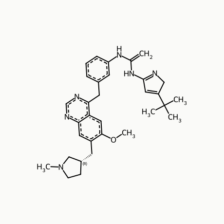 C=C(NC1=NCC(C(C)(C)C)=C1)Nc1cccc(Cc2ncnc3cc(C[C@@H]4CCN(C)C4)c(OC)cc23)c1